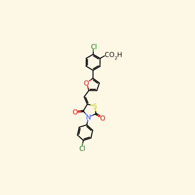 O=C(O)c1cc(-c2ccc(/C=C3\SC(=O)N(c4ccc(Cl)cc4)C3=O)o2)ccc1Cl